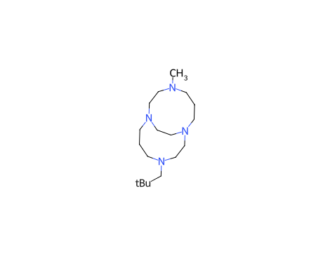 CN1CCCN2CCN(CCCN(CC(C)(C)C)CC2)CC1